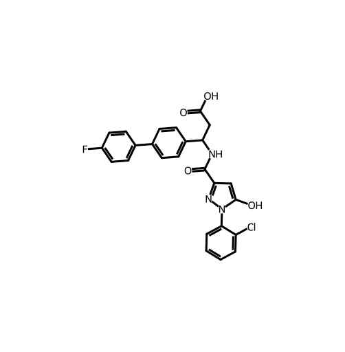 O=C(O)CC(NC(=O)c1cc(O)n(-c2ccccc2Cl)n1)c1ccc(-c2ccc(F)cc2)cc1